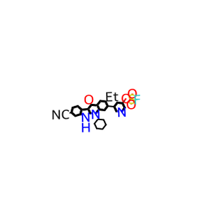 CCc1cc2c(=O)c3c4ccc(C#N)cc4[nH]c3n(C3CCCCC3)c2cc1-c1cncc(OS(=O)(=O)F)c1